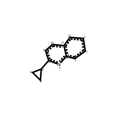 c1ccc2nc(C3CC3)ccc2c1